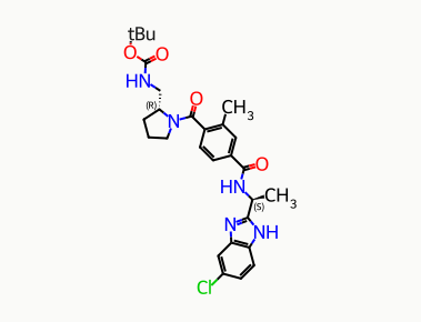 Cc1cc(C(=O)N[C@@H](C)c2nc3cc(Cl)ccc3[nH]2)ccc1C(=O)N1CCC[C@@H]1CNC(=O)OC(C)(C)C